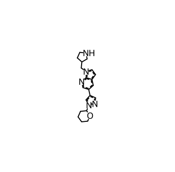 c1nc2c(ccn2CC2CCNC2)cc1-c1cnn(C2CCCCO2)c1